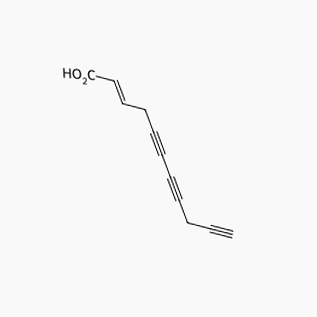 C#CCC#CC#CCC=CC(=O)O